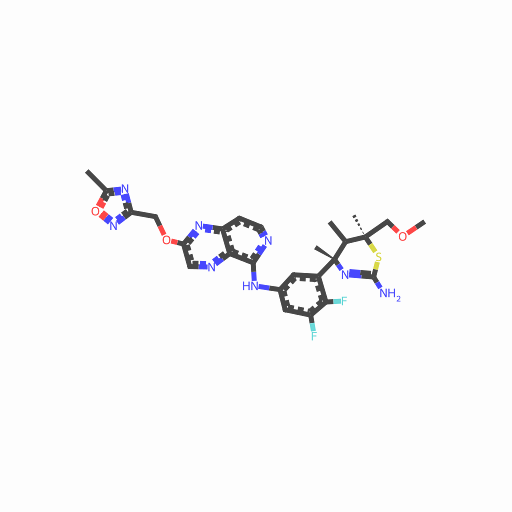 COC[C@@]1(C)SC(N)=N[C@](C)(c2cc(Nc3nccc4nc(OCc5noc(C)n5)cnc34)cc(F)c2F)C1C